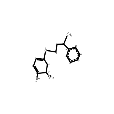 CC(C)C1=CC=C(OCCC(C)c2ccccc2)CC1C